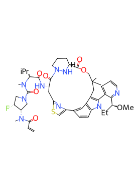 C=CC(=O)N(C)[C@H]1CN(C(=O)N(C)[C@H](C(=O)N[C@H]2Cc3nc(cs3)-c3ccc4c(c3)c(c(-c3cccnc3[C@H](C)OC)n4CC)CC(C)(C)COC(=O)[C@@H]3CCCN(N3)C2=O)C(C)C)C[C@H]1F